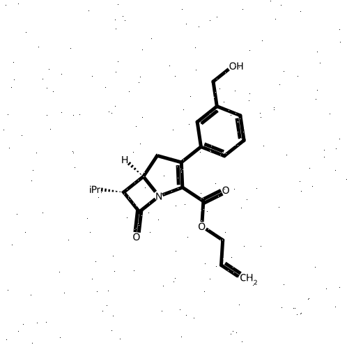 C=CCOC(=O)C1=C(c2cccc(CO)c2)C[C@@H]2[C@@H](C(C)C)C(=O)N12